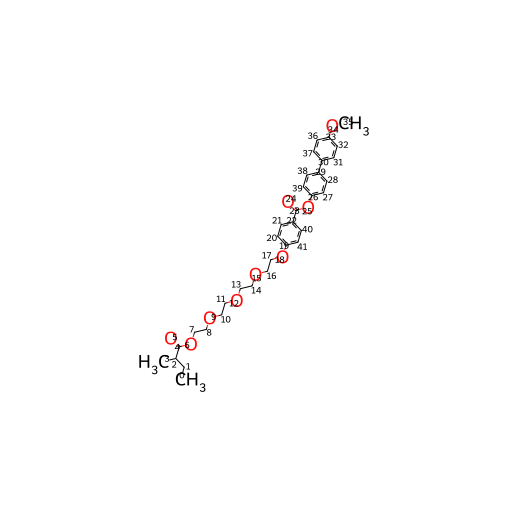 CCC(C)C(=O)OCCOCCOCCOCCOc1ccc(C(=O)Oc2ccc(-c3ccc(OC)cc3)cc2)cc1